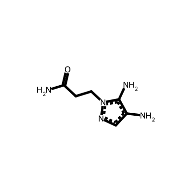 NC(=O)CCn1ncc(N)c1N